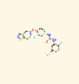 O=C(Nc1ccc(ON2C=Cc3sncc3C2)c(F)c1)Nc1cc(C(F)(F)F)ccc1F